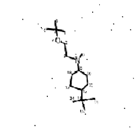 CN(CCOC(C)(C)C)C1CCC(C(C)(C)C)CC1